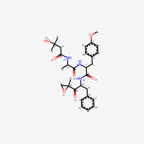 COc1ccc(CC(NC(=O)C(C)NC(=O)CC(C)(C)O)C(=O)NC(Cc2ccccc2)C(=O)C2(C)CO2)cc1